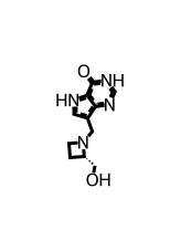 O=c1[nH]cnc2c(CN3CC[C@H]3CO)c[nH]c12